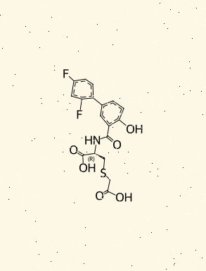 O=C(O)CSC[C@H](NC(=O)c1cc(-c2ccc(F)cc2F)ccc1O)C(=O)O